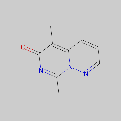 Cc1c(=O)nc(C)n2ncccc12